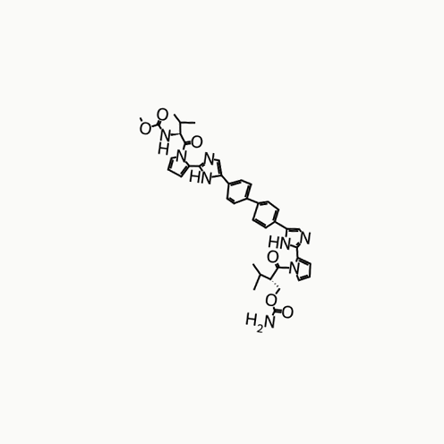 COC(=O)N[C@H](C(=O)n1cccc1-c1ncc(-c2ccc(-c3ccc(-c4cnc(-c5cccn5C(=O)[C@H](COC(N)=O)C(C)C)[nH]4)cc3)cc2)[nH]1)C(C)C